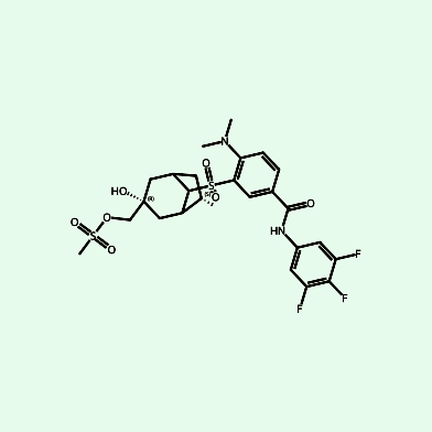 C[C@H]1CC2C[C@](O)(COS(C)(=O)=O)CC1C2S(=O)(=O)c1cc(C(=O)Nc2cc(F)c(F)c(F)c2)ccc1N(C)C